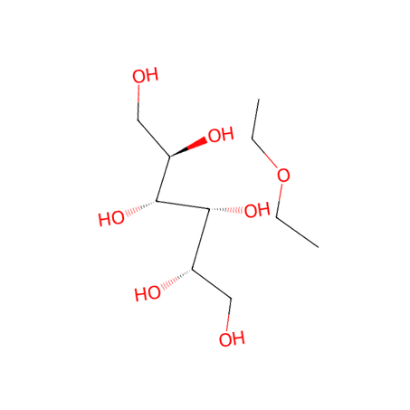 CCOCC.OC[C@@H](O)[C@@H](O)[C@H](O)[C@@H](O)CO